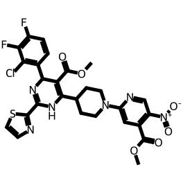 COC(=O)C1=C(C2CCN(c3cc(C(=O)OC)c([N+](=O)[O-])cn3)CC2)NC(c2nccs2)=NC1c1ccc(F)c(F)c1Cl